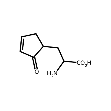 NC(CC1CC=CC1=O)C(=O)O